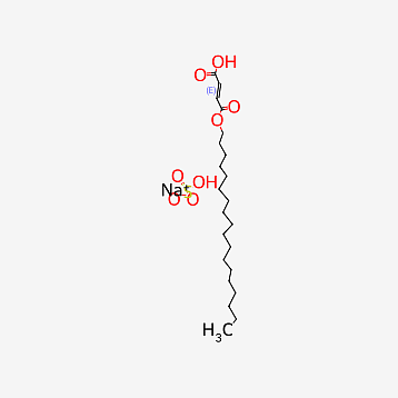 CCCCCCCCCCCCCCCCCCOC(=O)/C=C/C(=O)O.O=S(=O)([O-])O.[Na+]